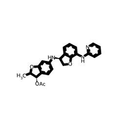 CC(=O)O[C@H]1c2ccc(N[C@@H]3COc4c(Nc5ccccn5)cccc43)cc2OC1C